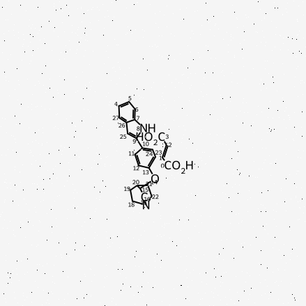 O=C(O)C=CC(=O)O.c1ccc2[nH]c(-c3ccc(OC4CN5CCC4CC5)cc3)cc2c1